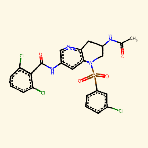 CC(=O)NC1Cc2ncc(NC(=O)c3c(Cl)cccc3Cl)cc2N(S(=O)(=O)c2cccc(Cl)c2)C1